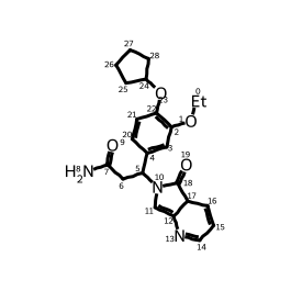 CCOc1cc(C(CC(N)=O)N2C=C3N=CC=CC3C2=O)ccc1OC1CCCC1